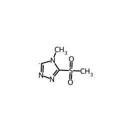 Cn1[c]nnc1S(C)(=O)=O